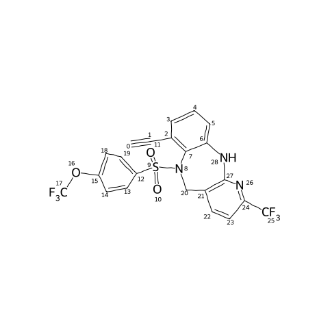 C#Cc1cccc2c1N(S(=O)(=O)c1ccc(OC(F)(F)F)cc1)Cc1ccc(C(F)(F)F)nc1N2